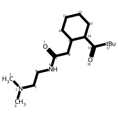 CN(C)CCNC(=O)CC1CCCCC1C(=O)C(C)(C)C